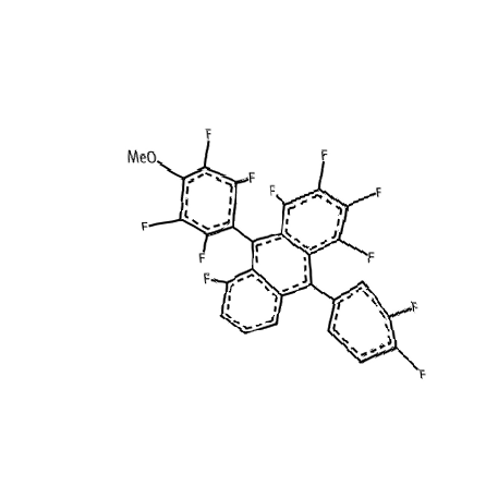 COc1c(F)c(F)c(-c2c3c(F)cccc3c(-c3ccc(F)c(F)c3)c3c(F)c(F)c(F)c(F)c23)c(F)c1F